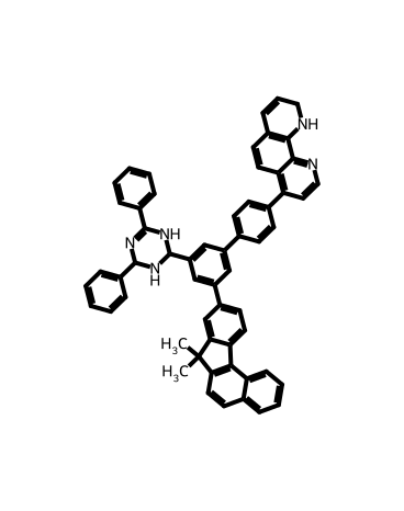 CC1(C)c2cc(-c3cc(-c4ccc(-c5ccnc6c7c(ccc56)C=CCN7)cc4)cc(C4NC(c5ccccc5)=NC(c5ccccc5)N4)c3)ccc2-c2c1ccc1ccccc21